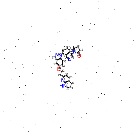 O=C(O)CC(c1cncc(N2CCCC2=O)c1)n1ncc2cc(OCCc3ccc4c(n3)NCCC4)ccc21